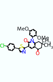 COc1ccc(OC)c(-n2c3c(cc(-c4ncc(-c5ccc(Cl)cc5)s4)c2=O)C(=O)CC(C)(C)C3)c1